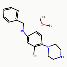 CCOC=O.N#Cc1cc(NCc2ccccc2)ccc1N1CCNCC1